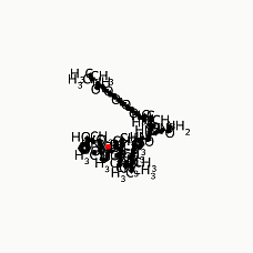 CC[C@H](C)C([C@@H](CC(=O)N1CCC[C@H]1[C@H](OC)[C@@H](C)C(=O)N[C@H](C)C(O)c1ccccc1)OC)N(C)C(=O)[C@@H](NC(=O)C(C(C)C)N(C)C(=O)OCc1ccc(NC(=O)[C@H](CCCNC(N)=O)NC(=O)C(NC(=O)CCOCCOCCOCCOCCC(=O)NCC(C)(C)C)C(C)C)cc1)C(C)C